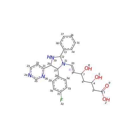 O=C(O)CC(O)CC(O)/C=C/N1C(c2ccccc2)NC(c2ccncn2)C1c1ccc(F)cc1